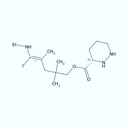 CCN/C(I)=C(\C)CC(C)(C)COC(=O)[C@@H]1CCCNN1